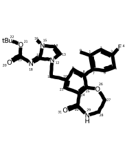 Cc1cc(F)ccc1-c1cc(Cn2ccn(C)c2=NC(=O)OC(C)(C)C)cc2c1OCCNC2=O